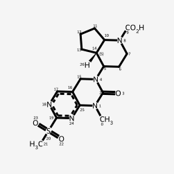 CN1C(=O)N(C2CCN(C(=O)O)C3CCC[C@H]32)Cc2cnc(S(C)(=O)=O)nc21